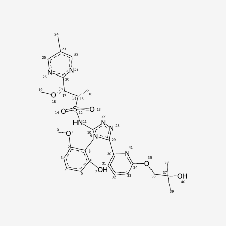 COc1cccc(O)c1-n1c(NS(=O)(=O)[C@@H](C)[C@H](OC)c2ncc(C)cn2)nnc1C1=C=C=CC(OCC(C)(C)O)=N1